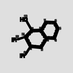 CC(C)c1cc2ccccc2c(O)c1C(C)C